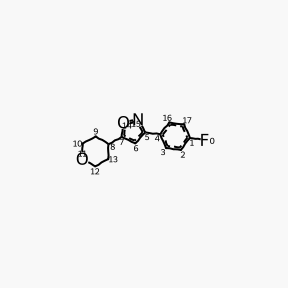 Fc1ccc(-c2cc(C3CCOCC3)on2)cc1